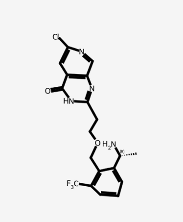 C[C@@H](N)c1cccc(C(F)(F)F)c1COCCc1nc2cnc(Cl)cc2c(=O)[nH]1